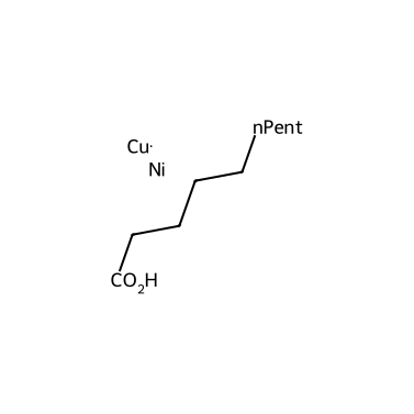 CCCCCCCCCC(=O)O.[Cu].[Ni]